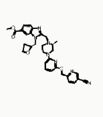 COC(=O)c1ccc2nc(CN3CCN(c4cccc(OCc5ccc(C#N)cn5)n4)C[C@@H]3C)n(C[C@@H]3CCO3)c2c1